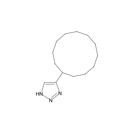 c1[nH]nnc1C1CCCCCCCCCCC1